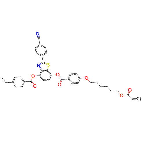 C=CC(=O)OCCCCCCOc1ccc(C(=O)Oc2ccc(OC(=O)c3ccc(CCC)cc3)c3nc(-c4ccc(C#N)cc4)sc23)cc1